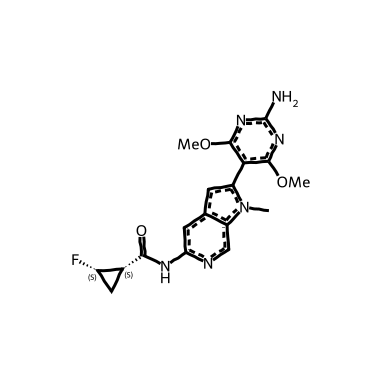 COc1nc(N)nc(OC)c1-c1cc2cc(NC(=O)[C@@H]3C[C@@H]3F)ncc2n1C